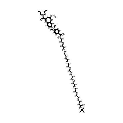 CCCN(OCC)C(=O)C1=Cc2ccc(S(=O)(=O)c3ccc(C(=O)NCCOCCOCCOCCOCCOCCOCCOCCOCCOCCOCCC(=O)OC(C)(C)C)cc3)cc2N=C(N)C1